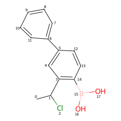 CC(Cl)c1cc(-c2ccccc2)ccc1B(O)O